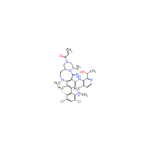 C=CC(=O)N1CC(C)N2C(=N)c3c(Nc4c(C)ccnc4C(C)O)cc(-c4c(F)c(Cl)cc(Cl)c4NC)c(C)c3N(C)CCC2C1